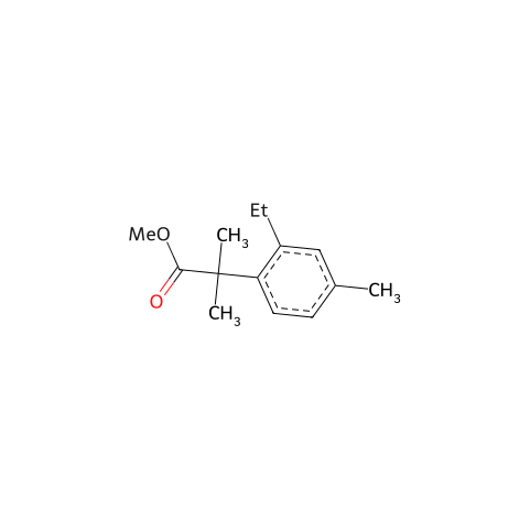 CCc1cc(C)ccc1C(C)(C)C(=O)OC